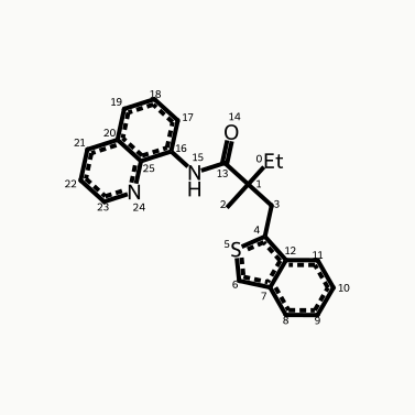 CCC(C)(Cc1scc2ccccc12)C(=O)Nc1cccc2cccnc12